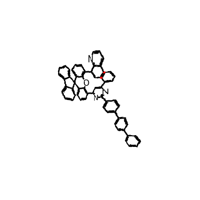 c1ccc(-c2ccc(-c3ccc(-c4nc(-c5ccccc5)cc(-c5cccc6c5Oc5c(-c7cccc8cccnc78)cccc5C65c6ccccc6-c6ccccc65)n4)cc3)cc2)cc1